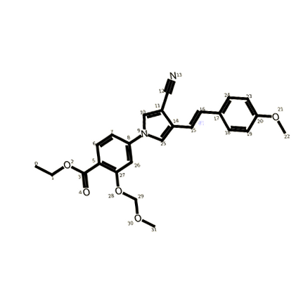 CCOC(=O)c1ccc(-n2cc(C#N)c(/C=C/c3ccc(OC)cc3)c2)cc1OCOC